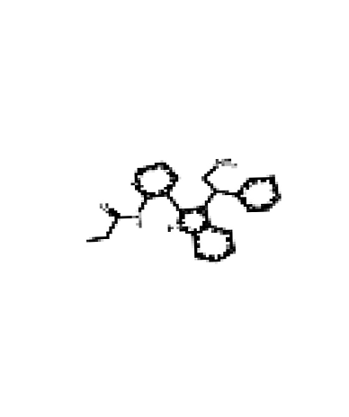 O=C(CI)Nc1ccccc1-c1[nH]c2ccccc2c1C(C[N+](=O)[O-])c1ccccc1